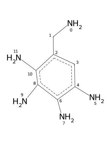 NCc1cc(N)c(N)c(N)c1N